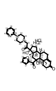 C[C@]12CCC(=O)C=C1CC[C@@H]1[C@@H]2C(O)(C(=O)c2ccco2)C[C@@]2(C)[C@H]1CC[C@]2(O)C(=O)CN1CCN(c2ccccn2)CC1.Cl.Cl